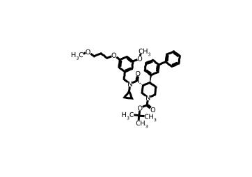 COCCCOc1cc(CN(C(=O)[C@H]2CN(C(=O)OC(C)(C)C)CC[C@@H]2c2cccc(-c3ccccc3)c2)C2CC2)cc(OC)c1